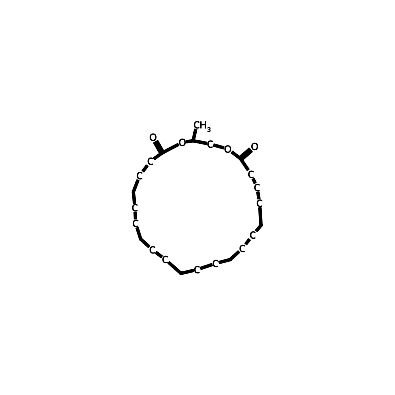 CC1COC(=O)CCCCCCCCCCCCCCCCCCC(=O)O1